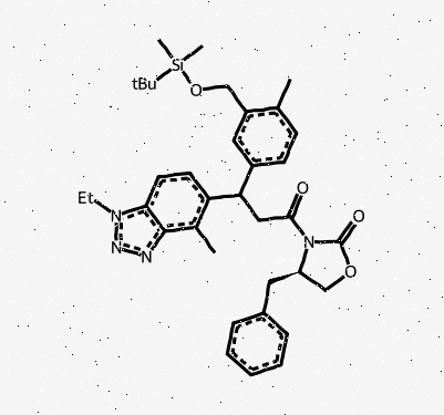 CCn1nnc2c(C)c(C(CC(=O)N3C(=O)OC[C@H]3Cc3ccccc3)c3ccc(C)c(CO[Si](C)(C)C(C)(C)C)c3)ccc21